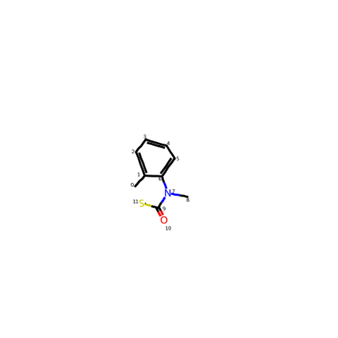 Cc1ccccc1N(C)C(=O)[S]